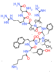 CC(C)C[C@H](NC(=O)[C@H](Cc1ccc2ccccc2c1)NC(=O)[C@H](Cc1ccc(O)cc1)NC(=O)CCCCCN)C(=O)N[C@@H](Cc1ccccc1)C(=O)N[C@@H](CCCNC(=N)N)C(=O)N(C)[C@@H](C)C(=O)N[C@@H](CCCNC(=N)N)C(=O)N[C@@H](CC(N)=O)C(N)=O